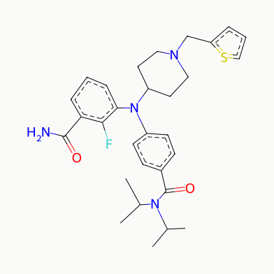 CC(C)N(C(=O)c1ccc(N(c2cccc(C(N)=O)c2F)C2CCN(Cc3cccs3)CC2)cc1)C(C)C